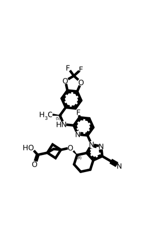 C[C@H](Nc1nc(-n2nc(C#N)c3c2[C@H](OC24CC(C(=O)O)(C2)C4)CCC3)ccc1F)c1ccc2c(c1)OC(F)(F)O2